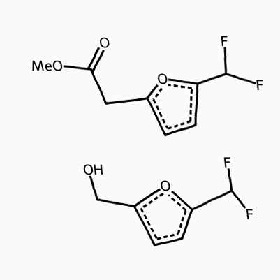 COC(=O)Cc1ccc(C(F)F)o1.OCc1ccc(C(F)F)o1